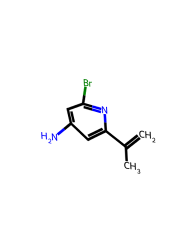 C=C(C)c1cc(N)cc(Br)n1